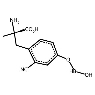 C[C@](N)(Cc1ccc(OBO)cc1C#N)C(=O)O